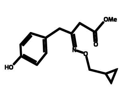 COC(=O)CC(Cc1ccc(O)cc1)=NOCC1CC1